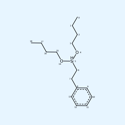 CCCCO[SiH](CCc1ccccc1)OCCCC